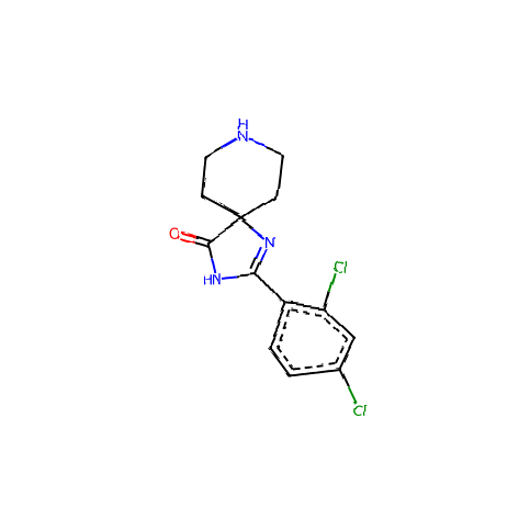 O=C1NC(c2ccc(Cl)cc2Cl)=NC12CCNCC2